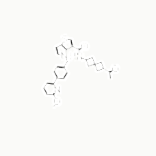 COc1cccc(-c2ccc(Cn3ccc4scc(C(=O)NC5CC6(C5)CC(C(C)=O)C6)c43)cc2)n1